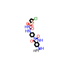 CCCNc1ccc2c(=O)n(-c3ccc(NC(=O)NS(=O)(=O)c4ccc(Cl)s4)cc3)c(=O)[nH]c2c1